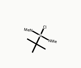 CN[Si](Cl)(NC)C(C)(C)C